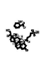 C[C@]12C[C@H](O)[C@H]3[C@@H](CCC4=CC(=O)CC(OC(=O)CCCS(=O)(=O)O)[C@@]43C)[C@@H]1CC[C@]2(O)C(=O)CO.O=C([O-])c1ccccc1.[Na+]